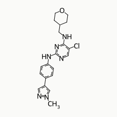 Cn1cc(-c2ccc(Nc3ncc(Cl)c(NCC4CCOCC4)n3)cc2)cn1